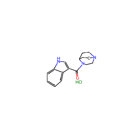 Cl.O=C(c1c[nH]c2ccccc12)N1CCN2CCC1CC2